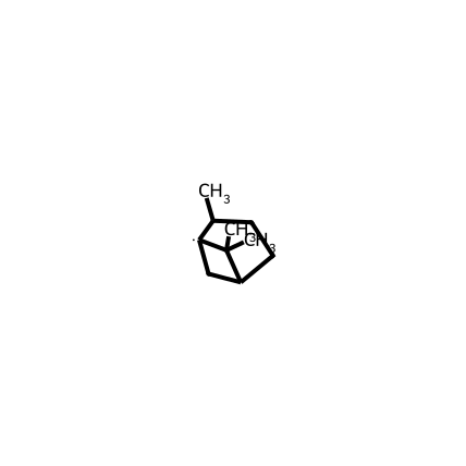 CC1CCC2C[C]1C2(C)C